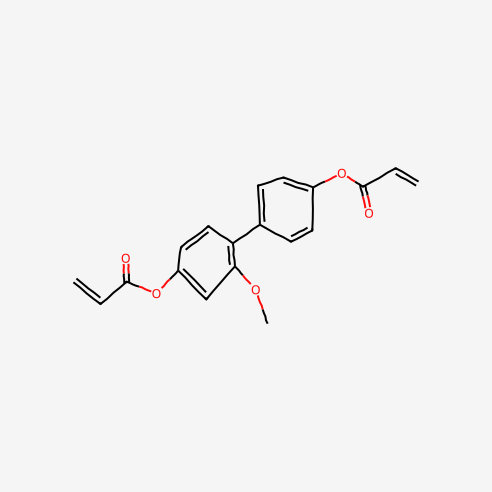 C=CC(=O)Oc1ccc(-c2ccc(OC(=O)C=C)cc2OC)cc1